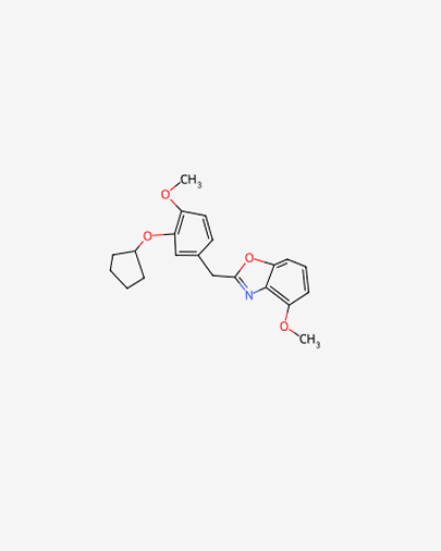 COc1ccc(Cc2nc3c(OC)cccc3o2)cc1OC1CCCC1